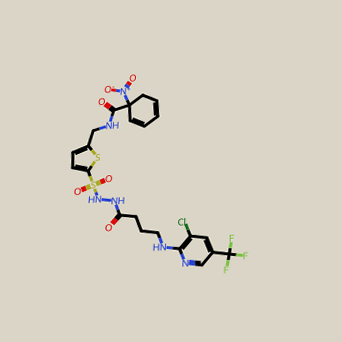 O=C(CCCNc1ncc(C(F)(F)F)cc1Cl)NNS(=O)(=O)c1ccc(CNC(=O)C2([N+](=O)[O-])C=CC=CC2)s1